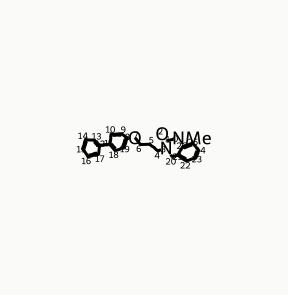 CNC(=O)N(CCCOc1ccc(-c2ccccc2)cc1)Cc1ccccc1